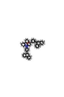 c1ccc(-c2ccccc2N(c2ccc(-c3cccc(-c4cc5ccccc5c5ccccc45)c3)cc2)c2ccc(-c3cc4ccccc4c4ccccc34)cc2)cc1